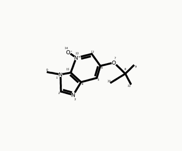 Cn1cnc2cc(OC(C)(C)C)c[n+]([O-])c21